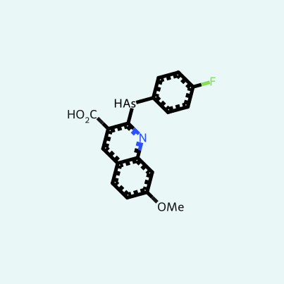 COc1ccc2cc(C(=O)O)c([AsH]c3ccc(F)cc3)nc2c1